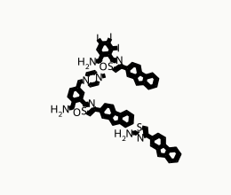 CN1CCN(Cc2ccc(C(N)=O)c(-c3nc(-c4ccc5c(c4)Cc4ccccc4-5)cs3)c2)CC1.NC(=O)c1cc(I)c(I)c(I)c1-c1nc(-c2ccc3c(c2)Cc2ccccc2-3)cs1.Nc1nc(-c2ccc3c(c2)Cc2ccccc2-3)cs1